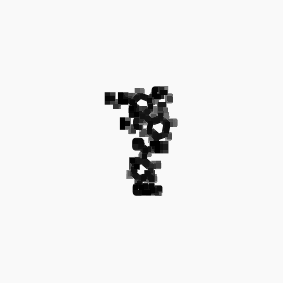 COc1cnc(C(=O)Nc2ccc(F)c(C3(C)CC(C(F)(F)F)CC(N)=N3)c2)cn1